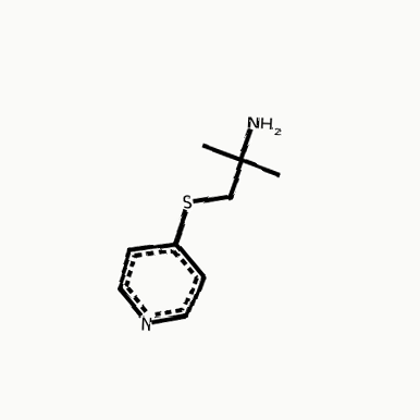 CC(C)(N)CSc1ccncc1